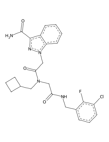 NC(=O)c1nn(CC(=O)N(CC(=O)NCc2cccc(Cl)c2F)CC2CCC2)c2ccccc12